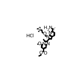 CCOC(=O)c1cc(OC)n2c(C)c(-c3cc4ccc([C@@H](C)N)nc4n3COCC[Si](C)(C)C)nc2c1.Cl